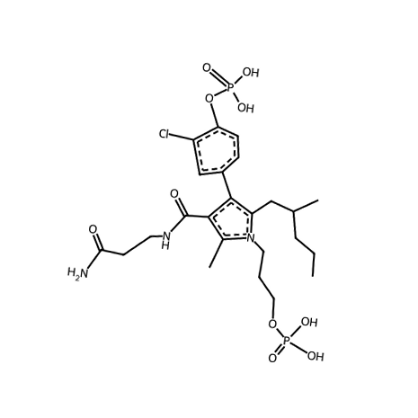 CCCC(C)Cc1c(-c2ccc(OP(=O)(O)O)c(Cl)c2)c(C(=O)NCCC(N)=O)c(C)n1CCCOP(=O)(O)O